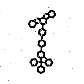 c1ccc(C2(c3ccccc3)c3ccccc3-c3cc(-c4ccc(-c5ccc(-c6cc7c8ccccc8sc7c7nc8ccccc8n67)cc5)cc4)ccc32)cc1